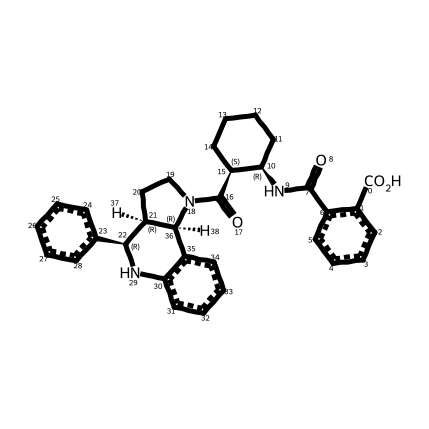 O=C(O)c1ccccc1C(=O)N[C@@H]1CCCC[C@@H]1C(=O)N1CC[C@@H]2[C@H](c3ccccc3)Nc3ccccc3[C@@H]21